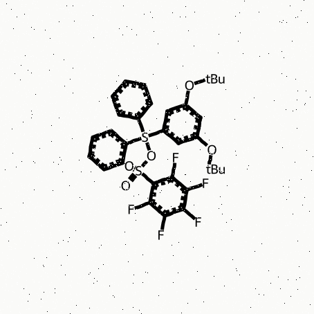 CC(C)(C)Oc1cc(OC(C)(C)C)cc(S(OS(=O)(=O)c2c(F)c(F)c(F)c(F)c2F)(c2ccccc2)c2ccccc2)c1